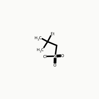 CCC(C)(C)CS(=O)(=O)Cl